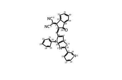 N#CC(C#N)=C1/C(=C/c2cc3sc(-c4cccnc4)nc3n2-c2ccccc2)C(=O)c2ccccc21